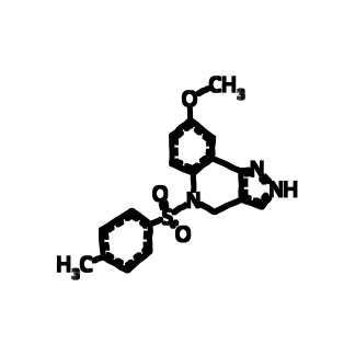 COc1ccc2c(c1)-c1n[nH]cc1CN2S(=O)(=O)c1ccc(C)cc1